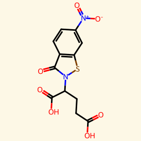 O=C(O)CCC(C(=O)O)n1sc2cc([N+](=O)[O-])ccc2c1=O